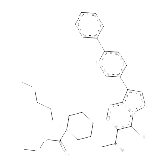 COCCO[C@]1(C(=O)NOC)CC[C@H](c2nc3c(-c4ccc(-c5ccccc5)nc4)cnn3c(N)c2C(C)=O)CC1